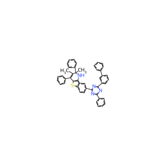 CC1=C(c2ccccc2)c2sc3ccc(-c4nc(-c5ccccc5)nc(-c5cccc(-c6ccccc6)c5)n4)cc3c2NC1(C)c1ccccc1